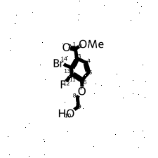 COC(=O)c1ccc(OCCO)c(F)c1Br